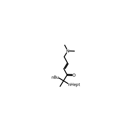 CCCCCCCC(C)(CCCC)C(=O)/C=C/CN(C)C